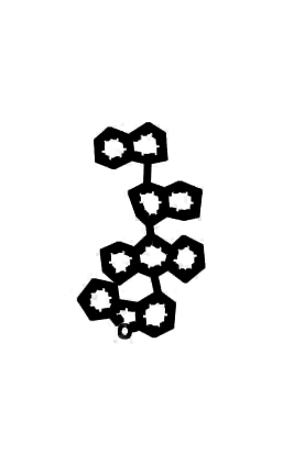 c1ccc2c(-c3ccc(-c4c5ccccc5c(-c5cccc6oc7ccccc7c56)c5ccccc45)c4ccccc34)cccc2c1